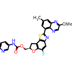 COc1cnc2c(-c3nc4cc(F)c5c(c4s3)C[C@H](COC(=O)Nc3cccnc3)O5)cc(C)cc2n1